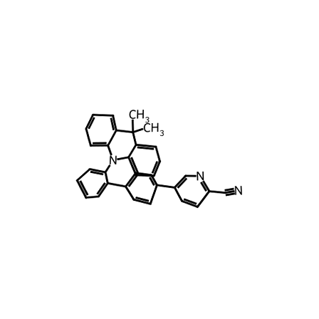 CC1(C)c2ccccc2N(c2ccccc2-c2ccc(-c3ccc(C#N)nc3)cc2)c2ccccc21